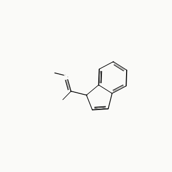 CC(=NO)C1C=Cc2ccccc21